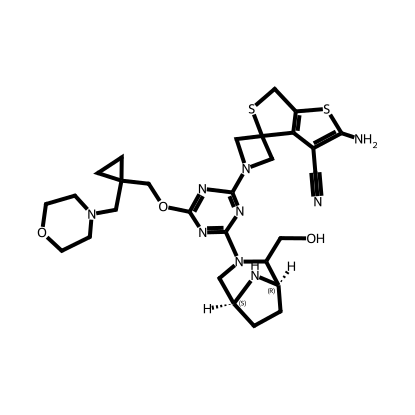 N#Cc1c(N)sc2c1C1(CN(c3nc(OCC4(CN5CCOCC5)CC4)nc(N4C[C@@H]5CC[C@@H](N5)C4CO)n3)C1)SC2